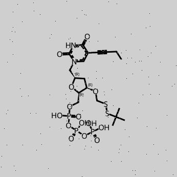 CCC#Cc1cn(C[C@H]2C[C@@H](OCSSC(C)(C)C)[C@@H](COP(=O)(O)OP(=O)(O)OP(=O)(O)O)O2)c(=O)[nH]c1=O